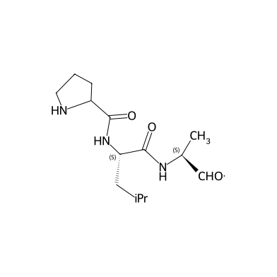 CC(C)C[C@H](NC(=O)C1CCCN1)C(=O)N[C@@H](C)[C]=O